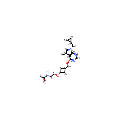 CC(=O)NCCOC1CC(COc2ncnc3c2c(C)cn3CC2CC2)C1